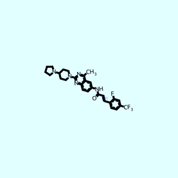 Cc1nc(N2CCC(N3CCCC3)CC2)nc2ccc(NC(=O)/C=C/c3ccc(C(F)(F)F)cc3F)cc12